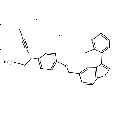 CC#C[C@@H](CC(=O)O)c1ccc(OCc2ccc3scc(-c4cccnc4C)c3c2)cc1